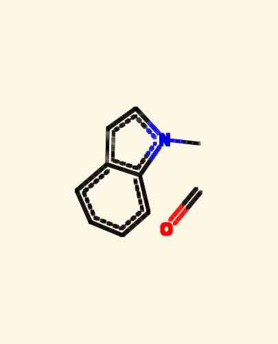 C=O.Cn1ccc2ccccc21